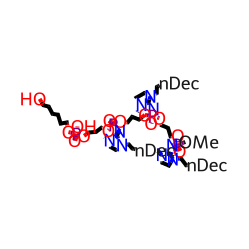 CCCCCCCCCCCCN1CCN(C)C1=NP(=O)(OCCCOP(=O)(/N=C1/N(C)CCN1CCCCCCCCCCCC)OC)OCCCOP(=O)(/N=C1\N(C)CCN1CCCCCCCCCCCC)OCCCOP(=O)(O)OCCCCCCO